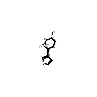 C[C@H]1CCC(c2ccsc2)NC1